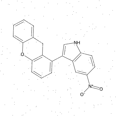 O=[N+]([O-])c1ccc2[nH]cc(-c3cccc4c3Cc3ccccc3O4)c2c1